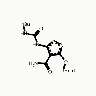 CCCCCCCOc1nsc(NC(=O)NCCCC)c1C(N)=O